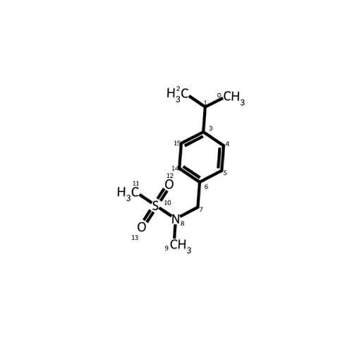 CC(C)c1ccc(CN(C)S(C)(=O)=O)cc1